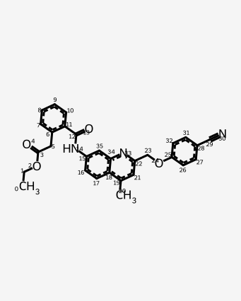 CCOC(=O)Cc1ccccc1C(=O)Nc1ccc2c(C)cc(COc3ccc(C#N)cc3)nc2c1